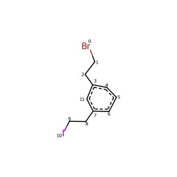 BrCCc1cccc(CCI)c1